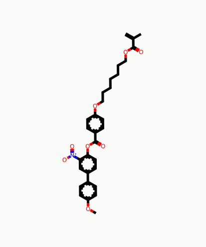 C=C(C)C(=O)OCCCCCCCOc1ccc(C(=O)Oc2ccc(-c3ccc(OC)cc3)cc2[N+](=O)[O-])cc1